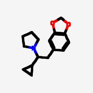 c1cc2c(cc1CC(C1CC1)N1CCCC1)OCO2